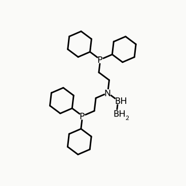 BBN(CCP(C1CCCCC1)C1CCCCC1)CCP(C1CCCCC1)C1CCCCC1